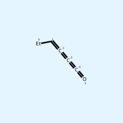 CCC=C=C=C=O